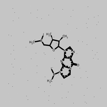 CB(I)CC1OC(n2cnc3c(=O)n4ccn(B(C)I)c4nc32)[C@H](C)[C@@H]1C